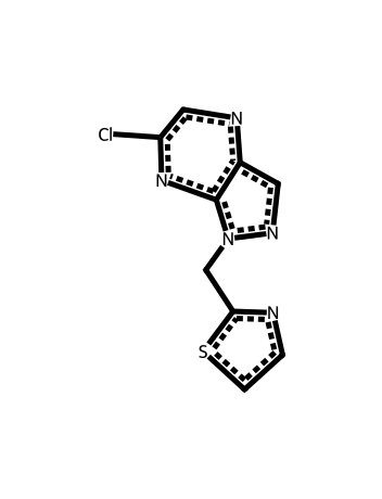 Clc1cnc2cnn(Cc3nccs3)c2n1